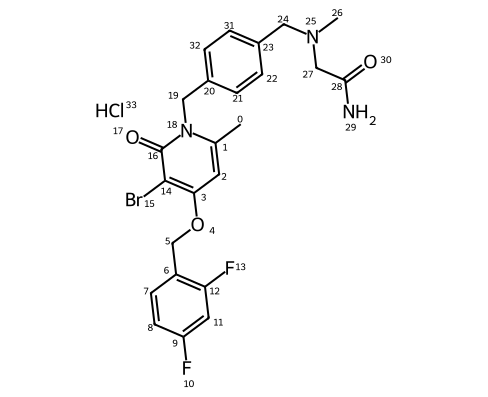 Cc1cc(OCc2ccc(F)cc2F)c(Br)c(=O)n1Cc1ccc(CN(C)CC(N)=O)cc1.Cl